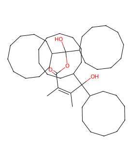 CC(C(=O)OC(O)(C1CCCCCCCCC1)C1CCCCCCCCC1)=C(C)C(O)(C1CCCCCCCCC1)C1CCCCCCCCC1